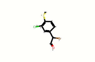 CSc1ccc(C(Br)C=O)cc1Cl